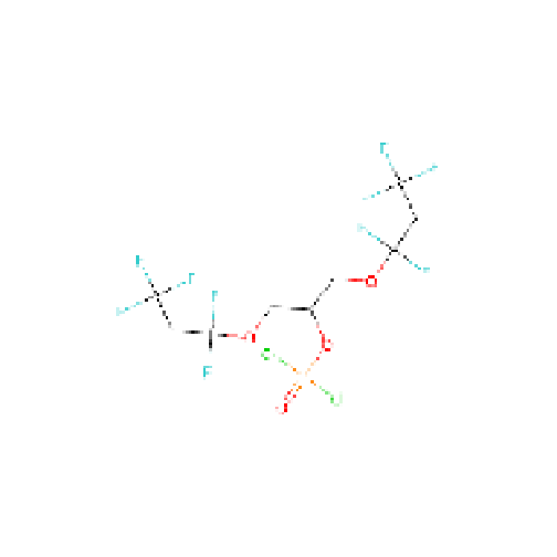 O=P(Cl)(Cl)OC(COC(F)(F)CC(F)(F)F)COC(F)(F)CC(F)(F)F